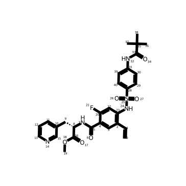 C=Cc1cc(C(=O)N[C@@H](Cc2cccnc2)C(=O)OC)c(F)cc1NS(=O)(=O)c1ccc(NC(=O)C(C)(C)C)cc1